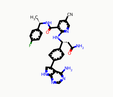 C[C@H](NC(=O)c1cc(C#N)cnc1N[C@H](CC(N)=O)c1ccc(-c2c[nH]c3ncnc(N)c23)cc1)c1ccc(F)cc1